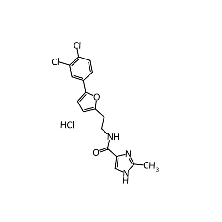 Cc1nc(C(=O)NCCc2ccc(-c3ccc(Cl)c(Cl)c3)o2)c[nH]1.Cl